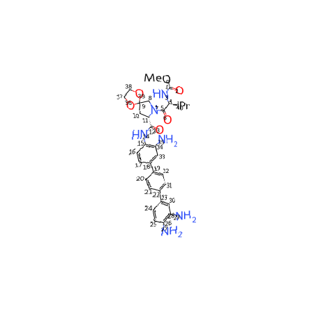 COC(=O)N[C@H](C(=O)N1CC2(C[C@H]1C(=O)Nc1ccc(-c3ccc(-c4ccc(N)c(N)c4)cc3)cc1N)OCCO2)C(C)C